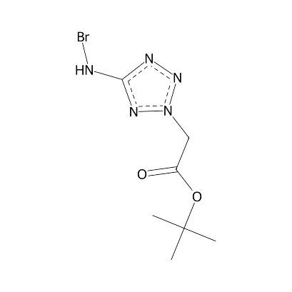 CC(C)(C)OC(=O)Cn1nnc(NBr)n1